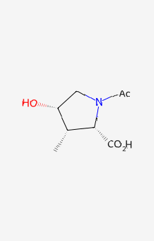 CC(=O)N1C[C@@H](O)[C@@H](C)[C@H]1C(=O)O